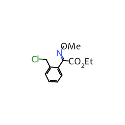 CCOC(=O)/C(=N\OC)c1ccccc1CCl